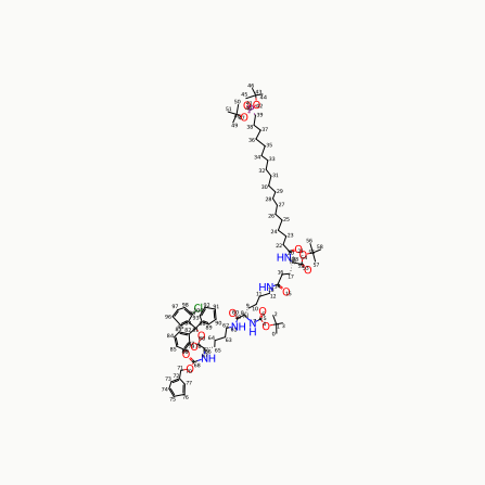 CC(C)(C)OC(=O)N[C@@H](CCCCNC(=O)CC[C@H](NC(=O)CCCCCCCCCCCCCCCCCCP(=O)(OC(C)(C)C)OC(C)(C)C)C(=O)OC(C)(C)C)C(=O)NCCCC[C@H](NC(=O)OCc1ccccc1)C(=O)OC(c1ccccc1)(c1ccccc1)c1ccccc1Cl